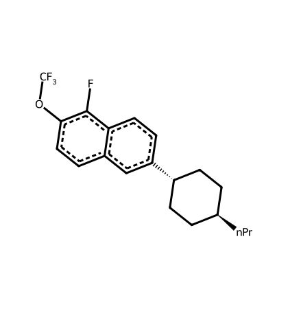 CCC[C@H]1CC[C@H](c2ccc3c(F)c(OC(F)(F)F)ccc3c2)CC1